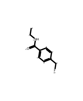 CCNC(=O)c1ccc(CF)cc1